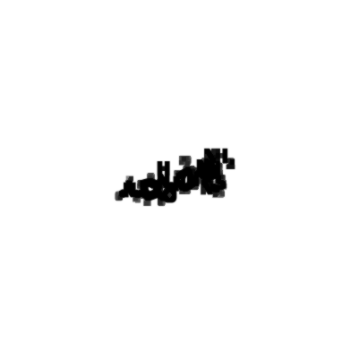 Cc1cc(CN(C)C)ccc1NC(=O)N1CCN(c2nc(N)nc3scnc23)[C@@H](C)C1